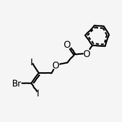 O=C(COCC(I)=C(Br)I)Oc1ccccc1